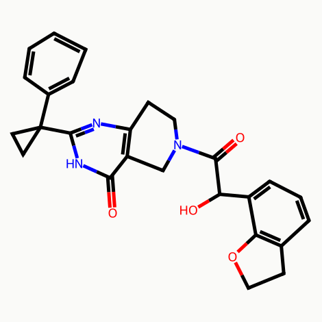 O=C(C(O)c1cccc2c1OCC2)N1CCc2nc(C3(c4ccccc4)CC3)[nH]c(=O)c2C1